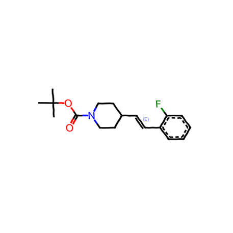 CC(C)(C)OC(=O)N1CCC(/C=C/c2ccccc2F)CC1